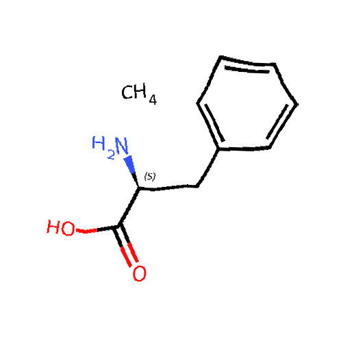 C.N[C@@H](Cc1ccccc1)C(=O)O